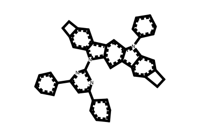 c1ccc(-c2cc(-c3ccccc3)nc(-n3c4cc5c(cc4c4cc6c(cc43)c3cc4c(cc3n6-c3ccccc3)CC4)CC5)n2)cc1